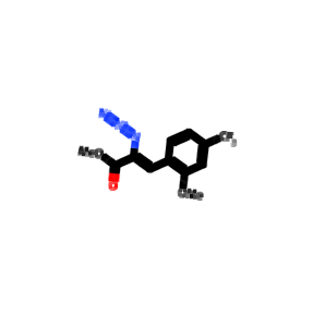 COC(=O)/C(=C/c1ccc(C(F)(F)F)cc1OC)N=[N+]=[N-]